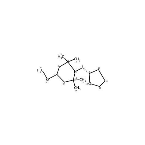 COC1CC(C)(C)N(C[C@@H]2CCCO2)C(C)(C)C1